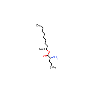 CCCCCCCCCCCCCCCCCCOC(=O)[C@@H](N)CCSC.[NaH]